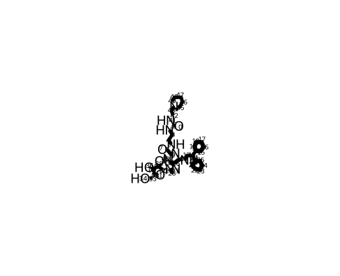 O=C(NCCNC(=O)c1nc(NCC(c2ccccc2)c2ccccc2)c2ncn([C@@H]3O[C@H](CO)[C@@H](O)[C@H]3O)c2n1)NCCN1CCCCC1